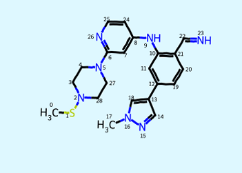 CSN1CCN(c2cc(Nc3cc(-c4cnn(C)c4)ccc3C=N)ccn2)CC1